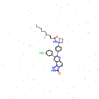 CCCCCC(F)/C=C/C(=O)NC1(c2ccc(-c3nc4ccn5c(=O)[nH]nc5c4cc3-c3ccccc3)cc2)CCC1.Cl